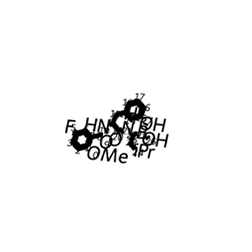 COc1ccc(F)cc1C(=O)NC(Cc1ccccc1)C(=O)NC(CC(C)C)B(O)O